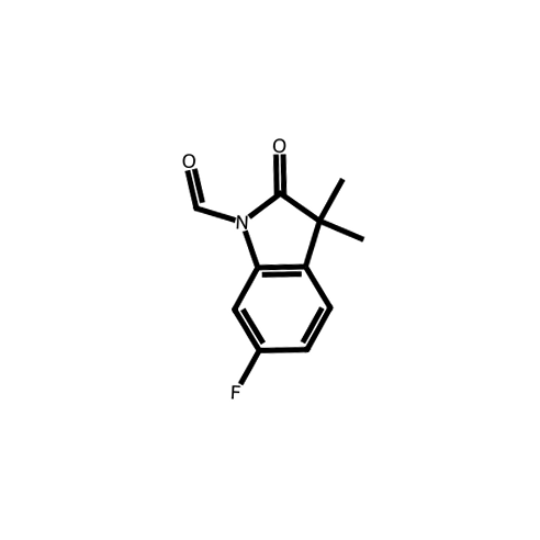 CC1(C)C(=O)N(C=O)c2cc(F)ccc21